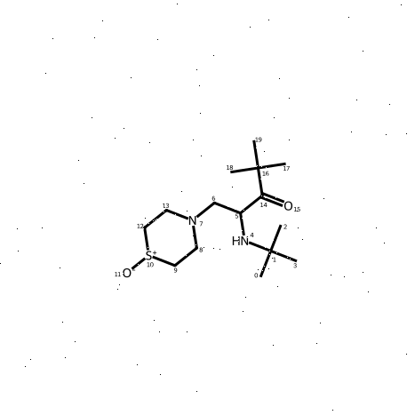 CC(C)(C)NC(CN1CC[S+]([O-])CC1)C(=O)C(C)(C)C